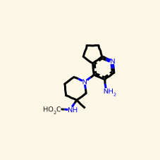 CC1(NC(=O)O)CCCN(c2c(N)cnc3c2CCC3)C1